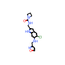 O=C(NCc1cc2cc(Cl)c(NCc3ccon3)cc2[nH]1)N1CCC1